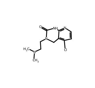 CN(C)CCN1Cc2c(Cl)ccnc2NC1=O